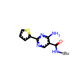 CC(C)(C)NC(=O)c1cnc(-c2cccs2)nc1N